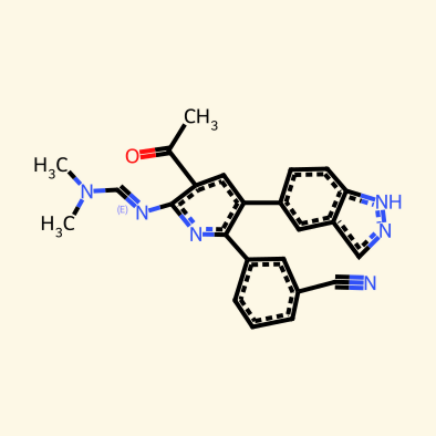 CC(=O)c1cc(-c2ccc3[nH]ncc3c2)c(-c2cccc(C#N)c2)nc1/N=C/N(C)C